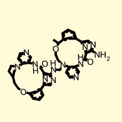 CC1OCCN(CNc2ncc3nc2C(=O)Nc2cnccc2N2CCC(CCOc4cccc-3c4)C2)c2ccncc2NC(=O)c2nc(cnc2N)-c2cccc1c2